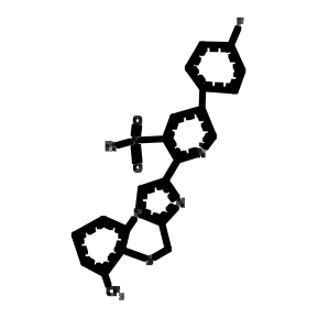 CCS(=O)(=O)c1cc(-c2ccc(F)cc2)cnc1-c1cn2c(n1)CSc1c-2cccc1C(F)(F)F